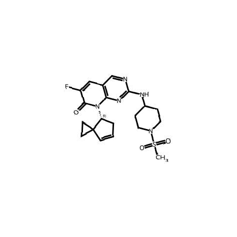 CS(=O)(=O)N1CCC(Nc2ncc3cc(F)c(=O)n([C@@H]4CC=CC45CC5)c3n2)CC1